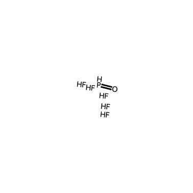 F.F.F.F.F.O=P